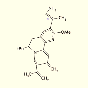 C=C(C)C1=CN2C(=CC1=C)c1cc(OC)c(/C(C)=C/N)cc1CC2C(C)(C)C